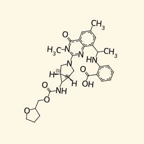 Cc1cc(C(C)Nc2ccccc2C(=O)O)c2nc(N3C[C@@H]4C(NC(=O)OCC5CCCO5)[C@@H]4C3)n(C)c(=O)c2c1